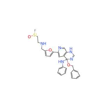 C[S+]([O-])CCNCc1ccc(-c2cc3c(cn2)NC=NC3(Nc2ccccc2)OCc2ccccc2)o1